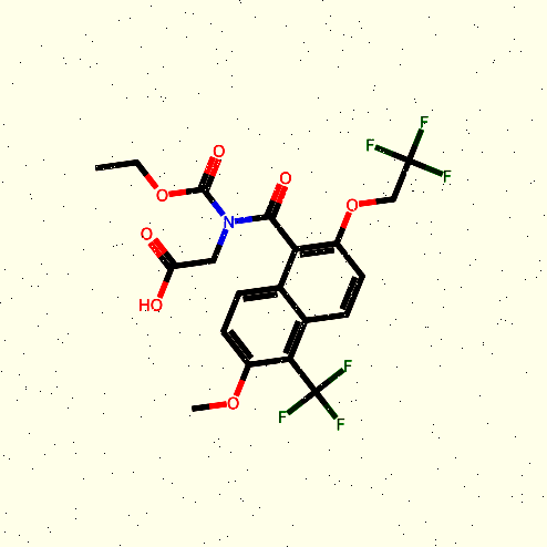 CCOC(=O)N(CC(=O)O)C(=O)c1c(OCC(F)(F)F)ccc2c(C(F)(F)F)c(OC)ccc12